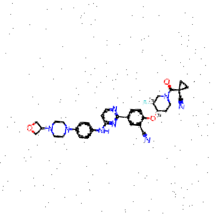 N#Cc1cc(-c2nccc(Nc3ccc(N4CCN(C5COC5)CC4)cc3)n2)ccc1O[C@H]1CCN(C(=O)C2(C#N)CC2)C[C@H]1F